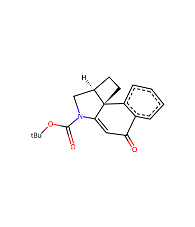 CC(C)(C)OC(=O)N1C[C@H]2CC[C@@]23C1=CC(=O)c1ccccc13